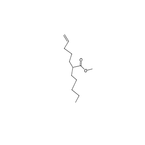 C=CCCCC(CCCCC)C(=O)OC